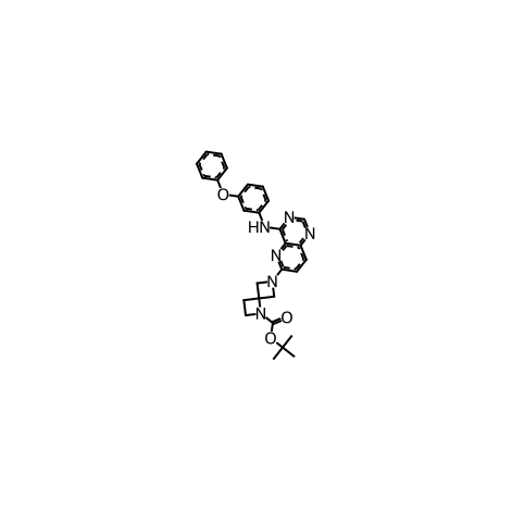 CC(C)(C)OC(=O)N1CCC12CN(c1ccc3ncnc(Nc4cccc(Oc5ccccc5)c4)c3n1)C2